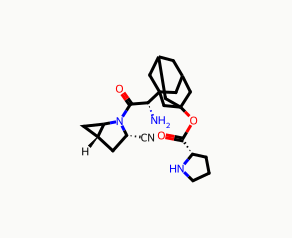 N#C[C@@H]1C[C@@H]2CC2N1C(=O)[C@@H](N)C12CC3CC(CC(OC(=O)[C@@H]4CCCN4)(C3)C1)C2